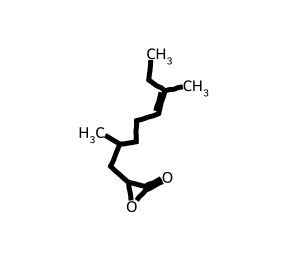 CCC(C)=CCCC(C)CC1OC1=O